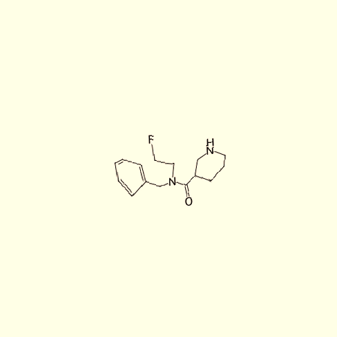 O=C(C1CCCNC1)N(CCF)Cc1ccccc1